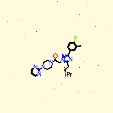 Cc1cc(-c2nc(CCC(C)C)n(CC(=O)N3CCN(c4ncccn4)CC3)n2)ccc1F